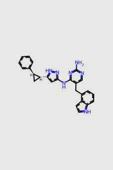 Nc1ncc(Cc2cccc3[nH]ccc23)c(Nc2cc([C@@H]3C[C@H]3c3ccccc3)[nH]n2)n1